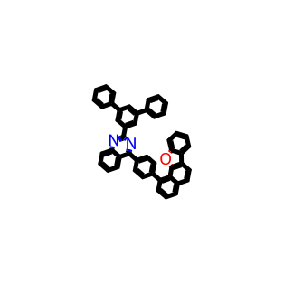 c1ccc(-c2cc(-c3ccccc3)cc(-c3nc(-c4ccc(-c5cccc6ccc7c8ccccc8oc7c56)cc4)c4ccccc4n3)c2)cc1